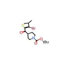 CC1CSC(C(=O)C2CCN(C(=O)OC(C)(C)C)CC2)=C1Br